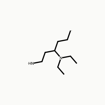 [CH2]CCC(CC[NH])N(CC)CC